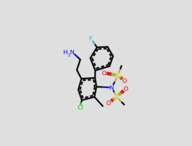 Cc1c(Cl)cc(CCN)c(-c2cccc(F)c2)c1N(S(C)(=O)=O)S(C)(=O)=O